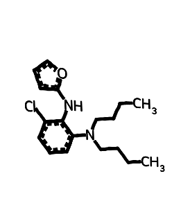 CCCCN(CCCC)c1cccc(Cl)c1Nc1ccco1